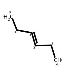 [CH]C/C=C/C[CH2]